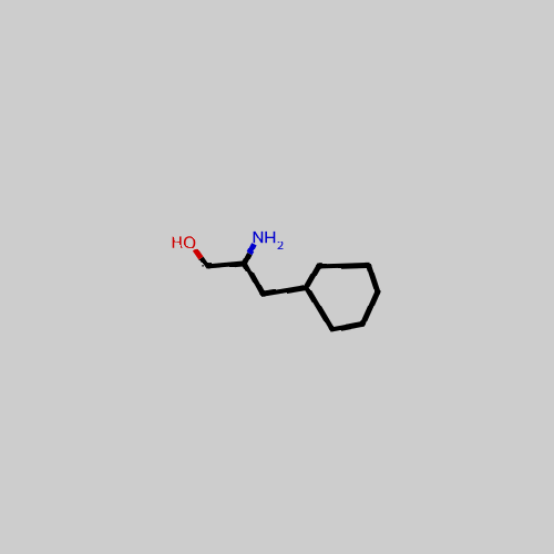 NC([CH]O)CC1CCCCC1